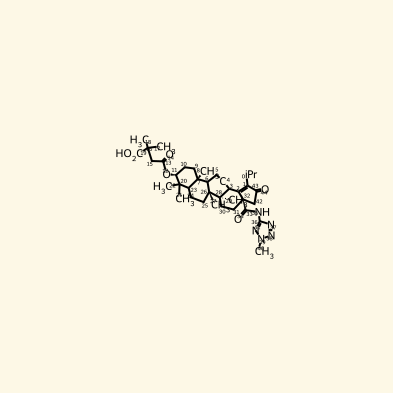 CC(C)C1=C2C3CCC4[C@@]5(C)CC[C@H](OC(=O)CC(C)(C)C(=O)O)C(C)(C)C5CC[C@@]4(C)[C@]3(C)CC[C@@]2(C(=O)Nc2nnn(C)n2)CC1=O